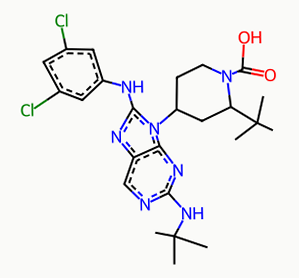 CC(C)(C)Nc1ncc2nc(Nc3cc(Cl)cc(Cl)c3)n(C3CCN(C(=O)O)C(C(C)(C)C)C3)c2n1